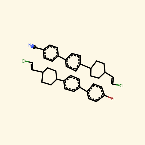 Cl/C=C/C1CCC(c2ccc(-c3ccc(Br)cc3)cc2)CC1.N#Cc1ccc(-c2ccc(C3CCC(/C=C/Cl)CC3)cc2)cc1